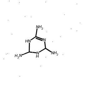 NC1=NC(N)NC(N)N1